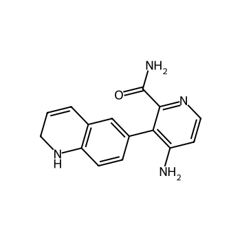 NC(=O)c1nccc(N)c1-c1ccc2c(c1)C=CCN2